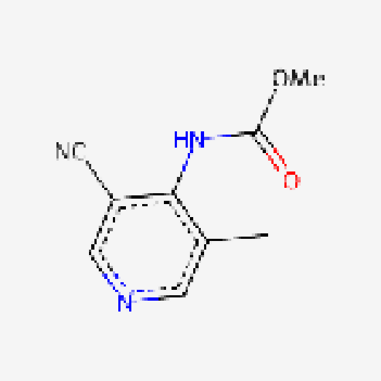 COC(=O)Nc1c(C)cncc1C#N